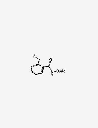 CONC(=O)c1ccccc1CF